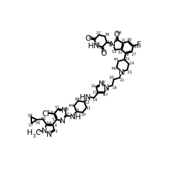 Cn1ncc(-c2nc(NC3CCC(NCc4cnn(CCCN5CCC(c6cc(F)cc7c6CN(C6CCC(=O)NC6=O)C7=O)CC5)c4)CC3)ncc2Cl)c1CC1CC1